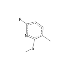 CSc1nc(F)ccc1C